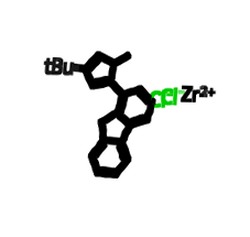 CC1C=C(C(C)(C)C)C=C1c1cccc2c1Cc1ccccc1-2.[Cl-].[Cl-].[Zr+2]